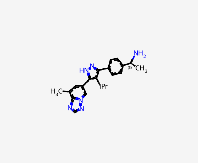 Cc1cc(-c2[nH]nc(-c3ccc([C@H](C)N)cc3)c2C(C)C)cn2ncnc12